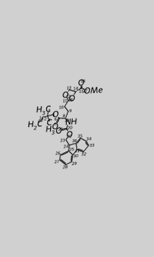 C=CC(C)(C)OC(=O)C(CCC1OC[C@@H](C(=O)OC)O1)NC(=O)OCC1c2ccccc2-c2ccccc21